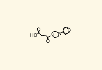 O=C(O)CCC(=O)N1CCN(c2ccncc2)CC1